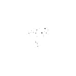 CC(C)(C)N1C[C@H](OS(=O)(=O)C(F)(F)F)[C@H]1CO[Si](C)(C)C(C)(C)C